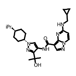 CC(C)[C@H]1CC[C@H](n2cc(NC(=O)c3cnn4ccc(NCC5CC5)nc34)c(C(C)(C)O)n2)CC1